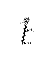 CCCCCCCCCCCCCCCCCCOP(=O)(O)O.N